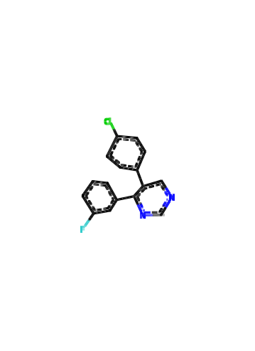 Fc1cccc(-c2n[c]ncc2-c2ccc(Cl)cc2)c1